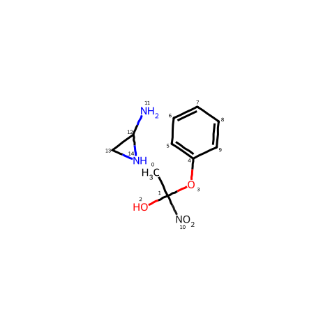 CC(O)(Oc1ccccc1)[N+](=O)[O-].NC1CN1